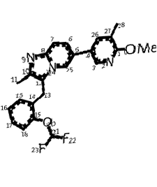 COc1ncc(-c2ccc3nc(C)c(Cc4ccccc4OC(F)F)n3c2)cc1C